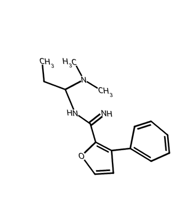 CCC(NC(=N)c1occc1-c1ccccc1)N(C)C